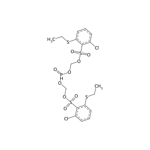 CCSc1cccc(Cl)c1S(=O)(=O)OCO[PH](=O)OCOS(=O)(=O)c1c(Cl)cccc1SCC